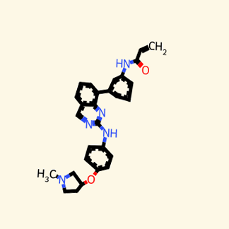 C=CC(=O)Nc1cccc(-c2cccc3cnc(Nc4ccc(OC5CCN(C)C5)cc4)nc23)c1